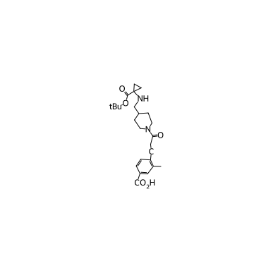 Cc1cc(C(=O)O)ccc1CCC(=O)N1CCC(CNC2(C(=O)OC(C)(C)C)CC2)CC1